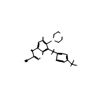 CC(C)(c1ccc(C(F)(F)F)cc1)c1c(N2CCOCC2)c(F)cc2c(=O)c(C#N)c[nH]c12